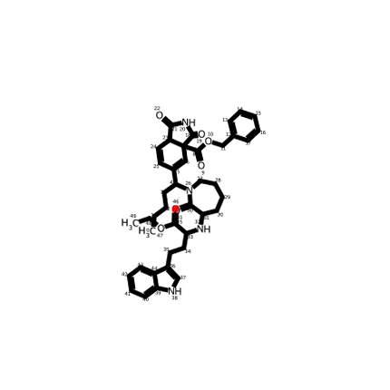 CCCCC(C1=CC2(C(=O)OCc3ccccc3)C(=O)NC(=O)C2C=C1)N1CCCCC(NC(CCc2c[nH]c3ccccc23)C(=O)OCC)C1=O